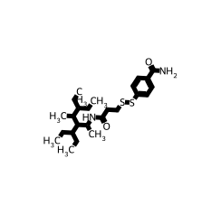 CCC(CC)C(C)C(C(CC)CC)C(C)NC(=O)CCSSc1ccc(C(N)=O)cc1